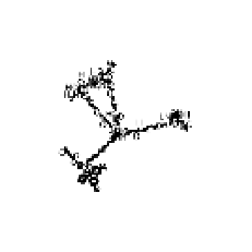 COc1ccc(C(OC[C@@H]2C[C@@H](OC(=O)CCC(C)=O)CN2C(=O)CCCCCCCCCCC(=O)NC(COCCC(=O)NCCOCCOCCOC2OC(COC(C)=O)C(O)C(O)C2N)(COCCC(=O)NCCOCCOCCOC2OC(COC(C)=O)C(O)C(O)C2N)COCCC(=O)NCCOCCOCCOC2OC(COC(C)=O)C(O)C(O)C2N)(c2ccccc2)c2ccc(OC)cc2)cc1